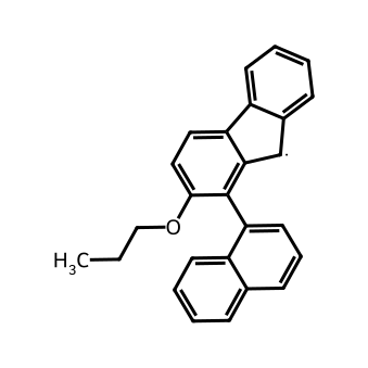 CCCOc1ccc2c(c1-c1cccc3ccccc13)[CH]c1ccccc1-2